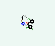 C=CCSc1ncn(C[C@@]2(c3ccc(F)cc3F)O[C@H]2c2ccccc2Cl)n1